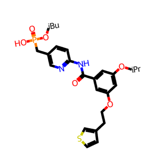 CCC(C)OP(=O)(O)Cc1ccc(NC(=O)c2cc(OCCc3ccsc3)cc(OC(C)C)c2)nc1